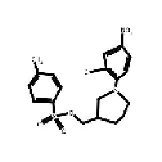 Cc1ccc(S(=O)(=O)OCC2CCCN(c3ccc([N+](=O)[O-])cc3Cl)C2)cc1